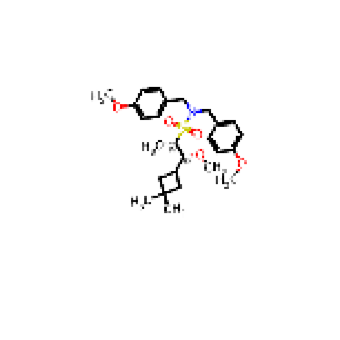 COc1ccc(CN(Cc2ccc(OC)cc2)S(=O)(=O)[C@@H](C)[C@H](OC)C2CC(C)(C)C2)cc1